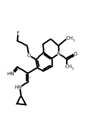 CC(=O)N1c2ccc(/C(C=N)=C/NC3CC3)c(OCCF)c2CCC1C